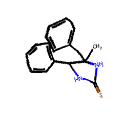 CC1(c2ccccc2)NC(=S)NC1c1ccccc1